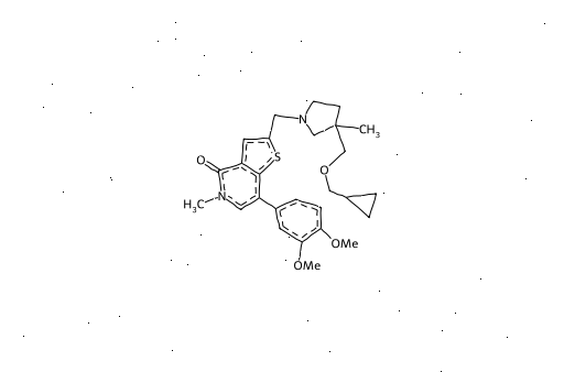 COc1ccc(-c2cn(C)c(=O)c3cc(CN4CCC(C)(COCC5CC5)C4)sc23)cc1OC